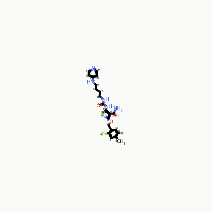 Cc1cc(F)c(COc2nsc(NC(=O)NCCCCNc3ccncc3)c2C(N)=O)cc1F